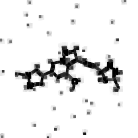 COc1cc(-c2cnn(C)c2)cn2ncc(C#Cc3nnc(C)s3)c12